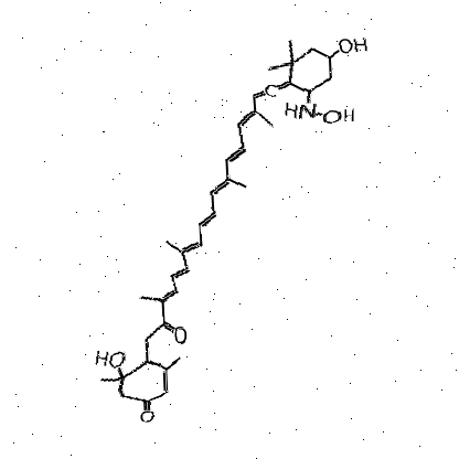 CC1=CC(=O)CC(C)(O)C1CC(=O)/C(C)=C/C=C/C(C)=C/C=C/C=C(C)/C=C/C=C(\C)C=C=C1C(NO)CC(O)CC1(C)C